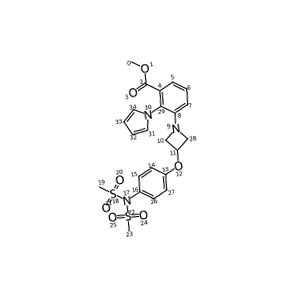 COC(=O)c1cccc(N2CC(Oc3ccc(N(S(C)(=O)=O)S(C)(=O)=O)cc3)C2)c1-n1cccc1